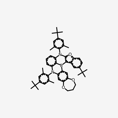 Cc1cc(C(C)(C)C)cc(C)c1N1c2cc3c(cc2B2c4c1cccc4N(c1c(C)cc(C(C)(C)C)cc1C)c1oc4ccc(C(C)(C)C)cc4c12)OCCCO3